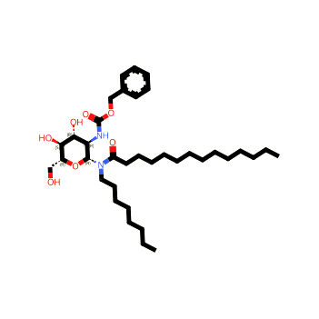 CCCCCCCCCCCCCC(=O)N(CCCCCCCC)[C@@H]1O[C@H](CO)[C@@H](O)[C@H](O)[C@H]1NC(=O)OCc1ccccc1